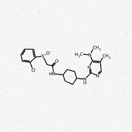 Cc1cnc(NC2CCC(NC(=O)C[S+]([O-])c3ccccc3Cl)CC2)nc1N(C)C